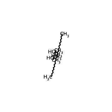 CCCCCCCCCCCCC(CNCC(CCCCCCCCCCCC)C(C)(C)O)C(C)(C)O